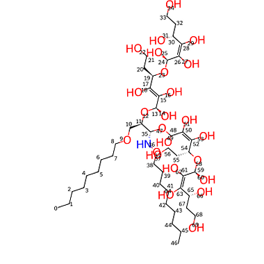 CCCCCCCCCOC[C@@H](O[C@H](O)/C(O)=C(\O)[C@@H](CCO)O[C@@H](O)/C(O)=C(/O)[C@H](O)CCO)[C@@H](NOCCCCCCCCC)O[C@H](O)/C(O)=C(/O)[C@@H](CCO)O[C@@H](O)/C(O)=C(/O)[C@H](O)CCO